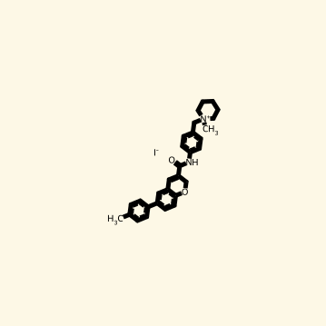 Cc1ccc(-c2ccc3c(c2)C=C(C(=O)Nc2ccc(C[N+]4(C)CCCCC4)cc2)CO3)cc1.[I-]